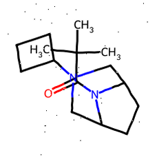 CC(C)(C)C(=O)N1C2CCC1CN(C1CCC1)C2